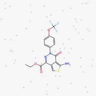 CCOC(=O)c1nn(-c2ccc(OC(F)(F)F)cc2)c(=O)c2c(N)scc12